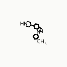 Cc1cccc(-n2ncc3ccc(C4CCNCC4)cc32)c1